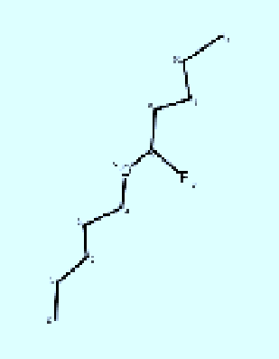 CCCCCOC(F)CCCC